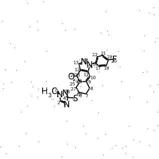 Cn1cnc(S[C@H]2CCC3=Cc4c(cnn4-c4ccc(F)cc4)C[C@]3(C=O)C2)n1